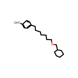 O=Cc1ccc(CCCCCCCOCC2CCCCC2)cc1